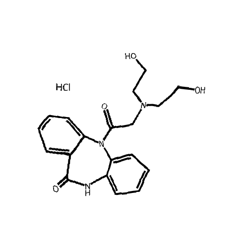 Cl.O=C1Nc2ccccc2N(C(=O)CN(CCO)CCO)c2ccccc21